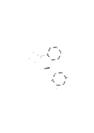 O=C(c1ccccc1)c1ccccc1N1CCC1